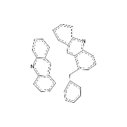 c1ccc(Cc2cccc3nc4ccccc4cc23)cc1.c1ccc2nc3ccccc3cc2c1